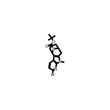 Cn1c2c(c3ccc(Br)nc31)C1CCCC(C2)N1C(=O)OC(C)(C)C